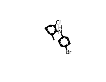 Cc1cccc(Cl)c1Nc1ccc(Br)cc1